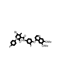 COc1cc2nccc(Oc3ccc(NC(=O)c4c(C)c(Br)cn(-c5ccc(F)cc5)c4=O)cc3F)c2cc1OC